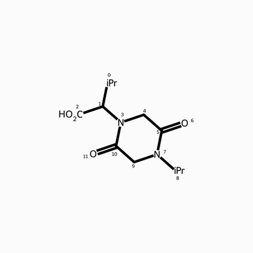 CC(C)C(C(=O)O)N1CC(=O)N(C(C)C)CC1=O